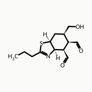 CCCC1=N[C@@H]2[C@H](C=O)[C@H](C=O)[C@H](CO)C[C@@H]2S1